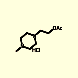 CC(=O)OCCN1CCN(C)CC1.Cl